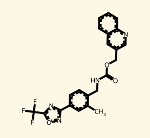 Cc1cc(-c2noc(C(F)(F)F)n2)ccc1CNC(=O)OCc1cnc2ccccc2c1